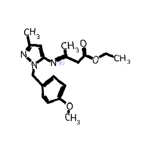 CCOC(=O)C/C(C)=N/c1cc(C)nn1Cc1ccc(OC)cc1